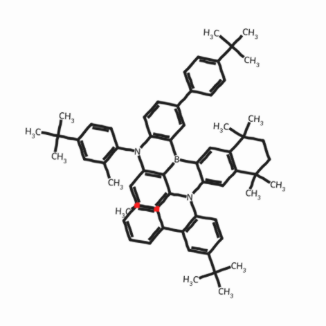 Cc1cc2c3c(c1)N(c1ccc(C(C)(C)C)cc1-c1ccccc1)c1cc4c(cc1B3c1cc(-c3ccc(C(C)(C)C)cc3)ccc1N2c1ccc(C(C)(C)C)cc1C)C(C)(C)CCC4(C)C